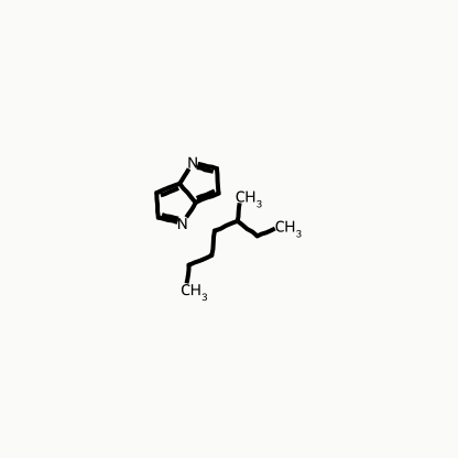 C1=NC2=CC=NC2=C1.CCCCC(C)CC